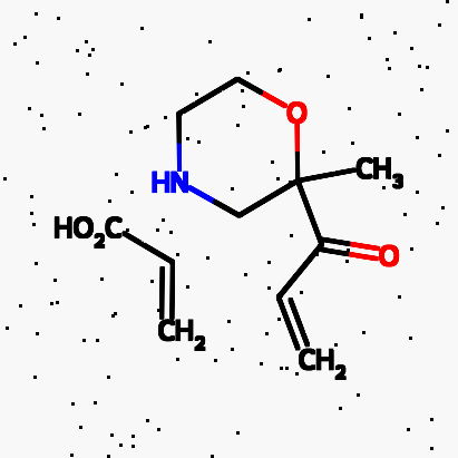 C=CC(=O)C1(C)CNCCO1.C=CC(=O)O